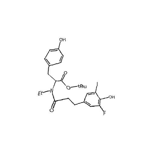 CCN(C(=O)CCc1cc(F)c(O)c(I)c1)C(Cc1ccc(O)cc1)C(=O)OC(C)(C)C